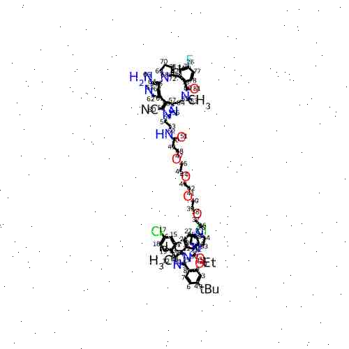 CCOc1cc(C(C)(C)C)ccc1C1=N[C@@](C)(c2ccc(Cl)cc2)[C@@](C)(c2ccc(Cl)cc2)N1C(=O)N1CCN(CCOCCOCCOCCOCCC(=O)NCCn2nc3c(c2C#N)-c2cnc(N)c(c2)N2CCC[C@@H]2c2cc(F)ccc2C(=O)N(C)C3)CC1